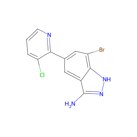 Nc1n[nH]c2c(Br)cc(-c3ncccc3Cl)cc12